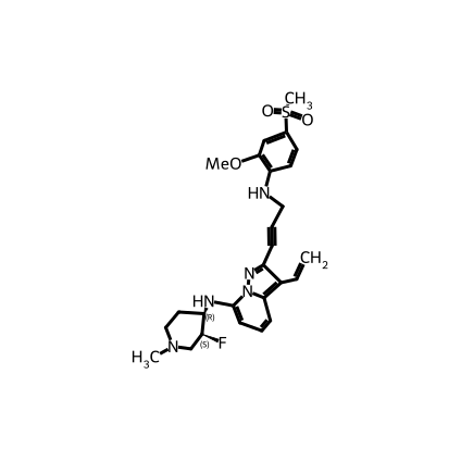 C=Cc1c(C#CCNc2ccc(S(C)(=O)=O)cc2OC)nn2c(N[C@@H]3CCN(C)C[C@@H]3F)cccc12